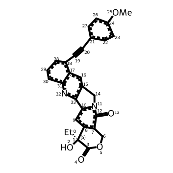 CC[C@@]1(O)C(=O)OCc2c1cc1n(c2=O)Cc2cc3c(C#Cc4ccc(OC)cc4)cccc3nc2-1